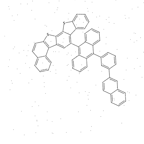 c1cc(-c2ccc3ccccc3c2)cc(-c2c3ccccc3c(-c3cc4c(sc5ccc6ccccc6c54)c4sc5ccccc5c34)c3ccccc23)c1